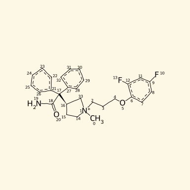 C[N+]1(CCCOc2ccc(F)cc2F)CC[C@@H](C(C(N)=O)(c2ccccc2)c2ccccc2)C1